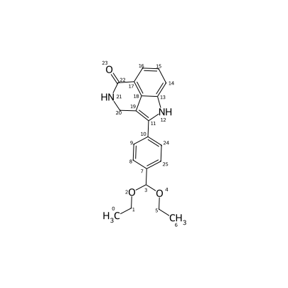 CCOC(OCC)c1ccc(-c2[nH]c3cccc4c3c2CNC4=O)cc1